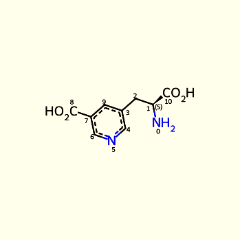 N[C@@H](Cc1cncc(C(=O)O)c1)C(=O)O